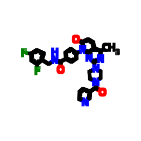 Cc1nc(N2CCN(C(=O)c3cccnc3)CC2)nc2c1ccc(=O)n2-c1ccc(C(=O)NCc2ccc(F)cc2F)cc1